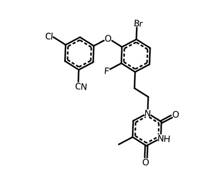 Cc1cn(CCc2ccc(Br)c(Oc3cc(Cl)cc(C#N)c3)c2F)c(=O)[nH]c1=O